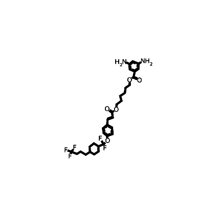 Nc1cc(N)cc(C(=O)OCCCCCCOC(=O)C=Cc2ccc(OC(F)(F)C3CCC(CCCC(F)(F)F)CC3)cc2)c1